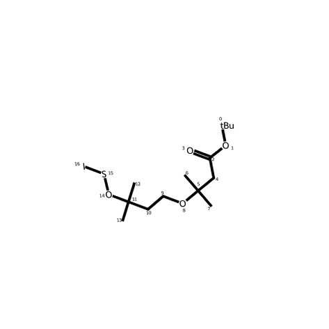 CC(C)(C)OC(=O)CC(C)(C)OCCC(C)(C)OSI